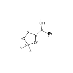 CC(C)C(O)[C@H]1COC(C)(C)O1